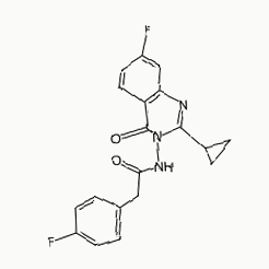 O=C(Cc1ccc(F)cc1)Nn1c(C2CC2)nc2cc(F)ccc2c1=O